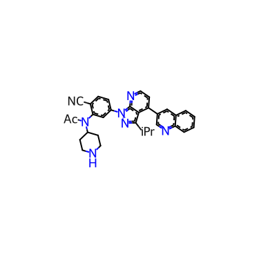 CC(=O)N(c1cc(-n2nc(C(C)C)c3c(-c4cnc5ccccc5c4)ccnc32)ccc1C#N)C1CCNCC1